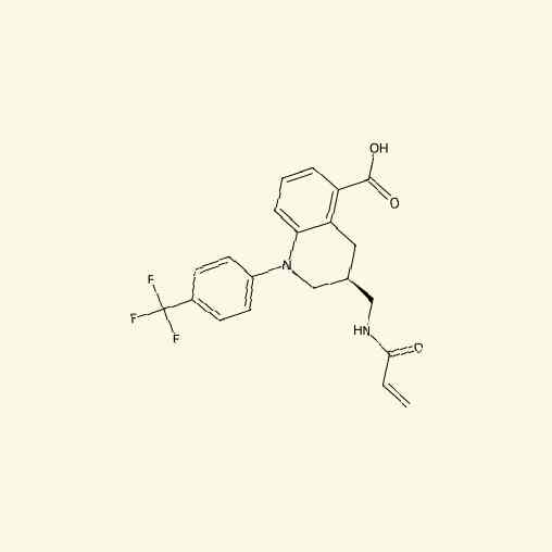 C=CC(=O)NC[C@@H]1Cc2c(C(=O)O)cccc2N(c2ccc(C(F)(F)F)cc2)C1